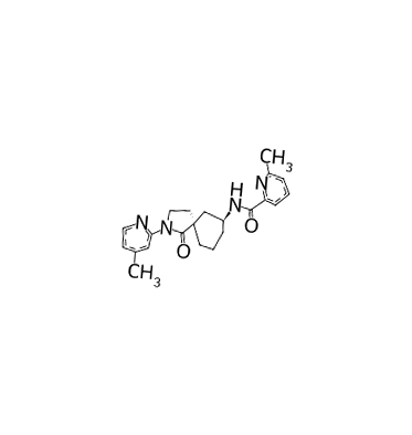 Cc1ccnc(N2CC[C@]3(CCC[C@H](NC(=O)c4cccc(C)n4)C3)C2=O)c1